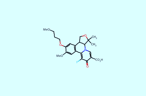 COCCCOc1cc2c(cc1OC)-c1c(F)c(=O)c(C(=O)O)cn1C1C2COC1(C)C